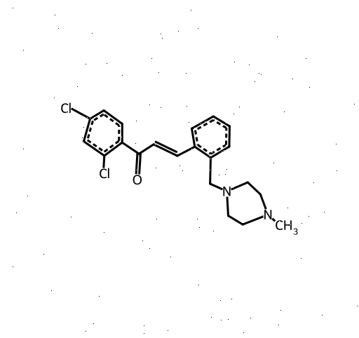 CN1CCN(Cc2ccccc2C=CC(=O)c2ccc(Cl)cc2Cl)CC1